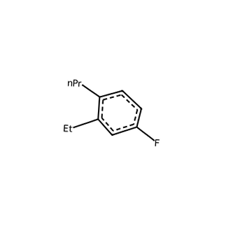 CCCc1ccc(F)cc1CC